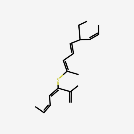 C=C(C)/C(=C\C=C/C)S/C(C)=C/C=CC(/C=C\C)CC